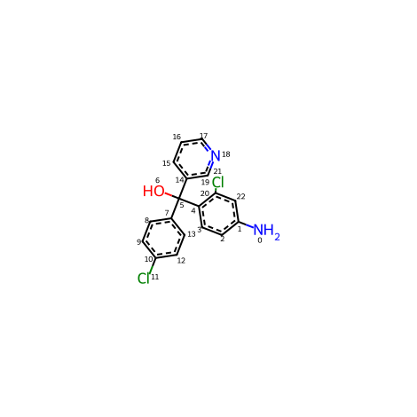 Nc1ccc(C(O)(c2ccc(Cl)cc2)c2cccnc2)c(Cl)c1